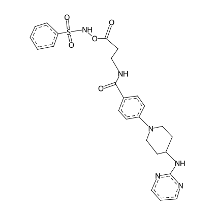 O=C(CCNC(=O)c1ccc(N2CCC(Nc3ncccn3)CC2)cc1)ONS(=O)(=O)c1ccccc1